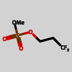 COS(=O)(=O)OCCC(F)(F)F